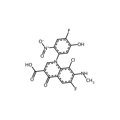 CNc1c(F)cc2c(=O)c(C(=O)O)cn(-c3cc(O)c(F)cc3[N+](=O)[O-])c2c1Cl